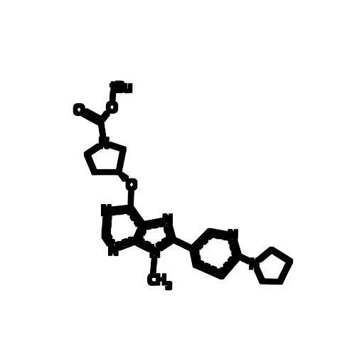 Cn1c(-c2ccc(N3CCCC3)nc2)nc2c(O[C@H]3CCN(C(=O)OC(C)(C)C)C3)ncnc21